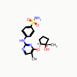 C[C@]1(O)CCC[C@H]1Oc1nc(Nc2ccc(S(N)(=O)=O)cc2)ncc1C#N